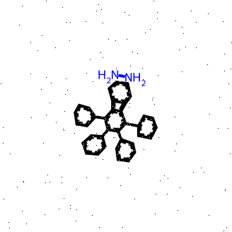 NN.c1ccc(-c2c(-c3ccccc3)c(-c3ccccc3)c3c(c2-c2ccccc2)=c2ccccc2=3)cc1